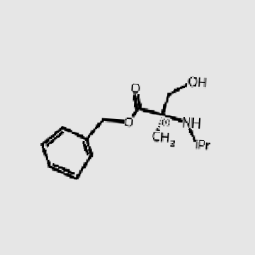 CC(C)N[C@](C)(CO)C(=O)OCc1ccccc1